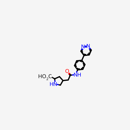 O=C(CC1CNC(C(=O)O)C1)Nc1ccc(-c2ccnnc2)cc1